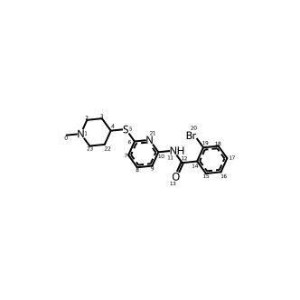 CN1CCC(Sc2cccc(NC(=O)c3ccccc3Br)n2)CC1